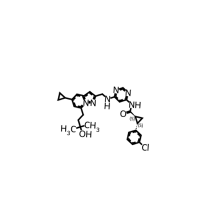 CC(C)(O)CCc1cc(C2CC2)cc2cc(CNc3cc(NC(=O)[C@H]4C[C@@H]4c4cccc(Cl)c4)ncn3)nn12